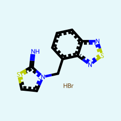 Br.N=c1sccn1Cc1cccc2nsnc12